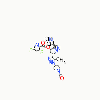 Cc1c(-c2cc(OC[C@@H](OC(C)C)c3ncc(F)cc3F)c3c(C#N)cnn3c2)nnn1C1CCN(C2COC2)CC1